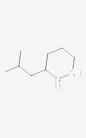 CC(C)CC1CCCNN1